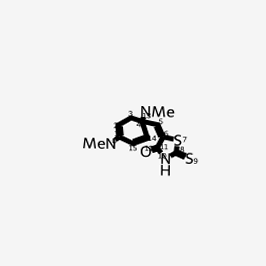 CNC1=CCC(C=C2SC(=S)NC2=O)(NC)C=C1